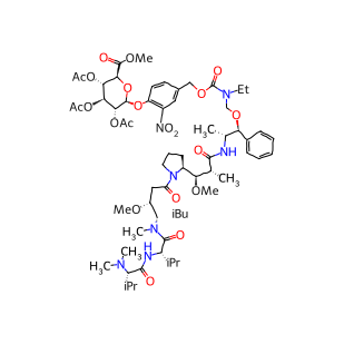 CC[C@H](C)[C@@H]([C@@H](CC(=O)N1CCC[C@H]1[C@H](OC)[C@@H](C)C(=O)N[C@H](C)[C@@H](OCN(CC)C(=O)OCc1ccc(O[C@@H]2O[C@H](C(=O)OC)[C@@H](OC(C)=O)[C@H](OC(C)=O)[C@H]2OC(C)=O)c([N+](=O)[O-])c1)c1ccccc1)OC)N(C)C(=O)[C@@H](NC(=O)[C@H](C(C)C)N(C)C)C(C)C